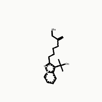 C=C(CCCCc1nn2ccccc2c1C(C)(C)O)CC(C)(C)C